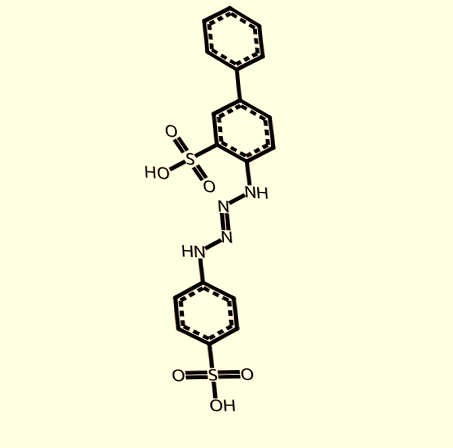 O=S(=O)(O)c1ccc(NN=NNc2ccc(-c3ccccc3)cc2S(=O)(=O)O)cc1